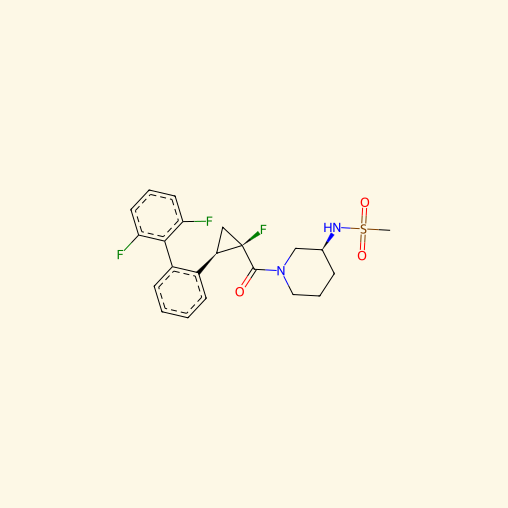 CS(=O)(=O)N[C@H]1CCCN(C(=O)[C@@]2(F)C[C@@H]2c2ccccc2-c2c(F)cccc2F)C1